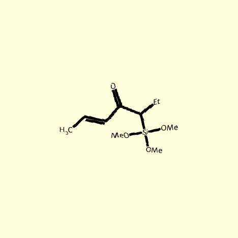 CC=CC(=O)C(CC)[Si](OC)(OC)OC